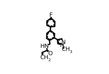 C=CC(=O)NCc1ccc(-c2ccc(F)cc2)cc1-c1cnn(C)c1